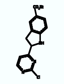 CCOC(=O)c1ccc2c(c1)CC(c1ccnc(Cl)n1)N2